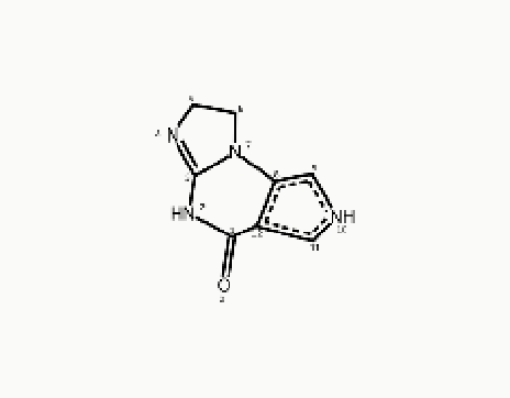 O=C1NC2=NCCN2c2c[nH]cc21